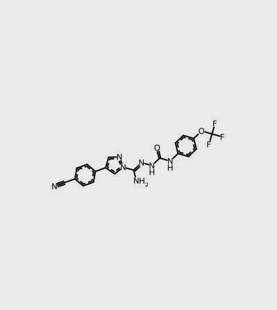 N#Cc1ccc(-c2cnn(C(N)=NNC(=O)Nc3ccc(OC(F)(F)F)cc3)c2)cc1